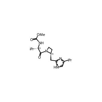 COC(=O)N[C@H](C(=O)N1CC[C@H]1Cc1nc(C(C)C)c[nH]1)C(C)C